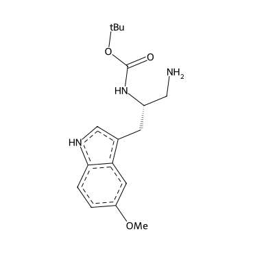 COc1ccc2[nH]cc(C[C@@H](CN)NC(=O)OC(C)(C)C)c2c1